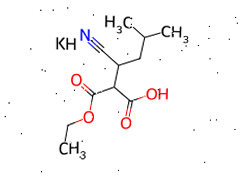 CCOC(=O)C(C(=O)O)C(C#N)CC(C)C.[KH]